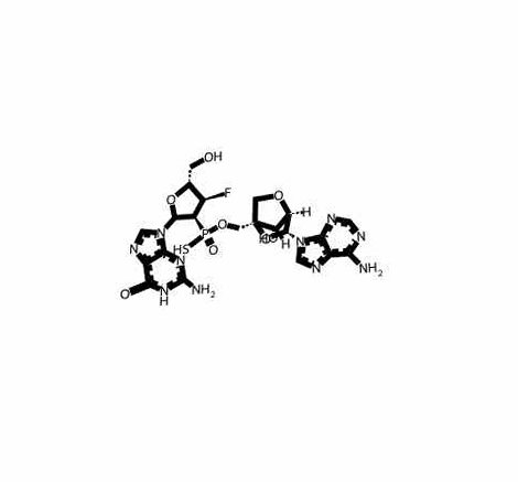 Nc1nc2c(ncn2C2O[C@H](CO)[C@@H](F)[C@H]2P(=O)(S)OC[C@@]23CO[C@@H]([C@H](n4cnc5c(N)ncnc54)O2)[C@@H]3O)c(=O)[nH]1